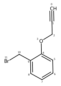 C#CCOc1ccccc1CBr